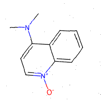 CN(C)c1cc[n+]([O-])c2ccccc12